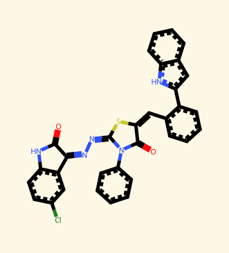 O=C1Nc2ccc(Cl)cc2C1=NN=C1SC(=Cc2ccccc2-c2cc3ccccc3[nH]2)C(=O)N1c1ccccc1